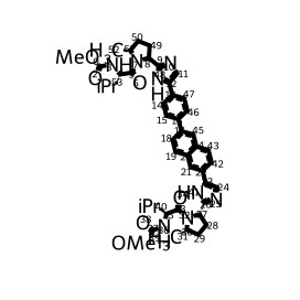 COC(=O)N[C@H](C(=O)N1C(c2ncc(-c3ccc(-c4ccc5cc(-c6cnc([C@@H]7CC[C@H](C)N7C(=O)[C@@H](NC(=O)OC)C(C)C)[nH]6)ccc5c4)cc3)[nH]2)CC[C@@H]1C)C(C)C